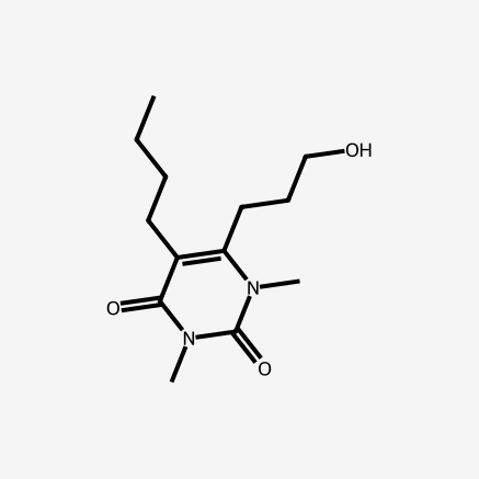 CCCCc1c(CCCO)n(C)c(=O)n(C)c1=O